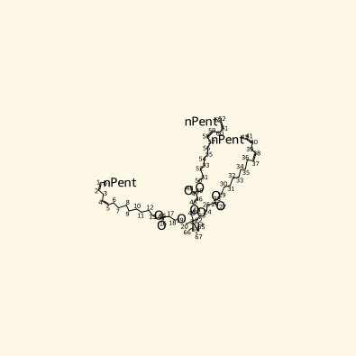 CCCCC/C=C\C/C=C\CCCCCCCCOC(=O)CCOCC(COCCC(=O)OCCCCCCCC/C=C\C/C=C\CCCCC)(COCCC(=O)OCCCCCCCC/C=C\C/C=C\CCCCC)[N+](C)(C)C